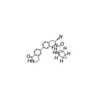 N#C[C@H](Cc1ccc(-c2ccc3c(c2)CCNC3=O)cc1F)NC(=O)[C@H]1N[C@H]2C[C@@H]1[C@@H]1C[C@@H]12